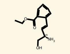 CCOC(=O)c1ccccc1C=C[C@@H](N)CO